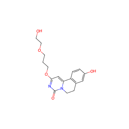 O=c1nc(OCCCOCCO)cc2n1CCc1cc(O)ccc1-2